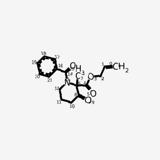 C=CCOC(=O)C1(C)C(=O)CCCN1C(=O)c1ccccc1